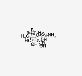 C[C@](O)([C@H]1O[C@@H]2SC(N)=N[C@@H]2[C@@H](O)[C@@H]1O)C(F)(F)F